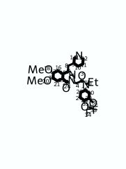 CCN(C(=O)Cn1nc(Cc2cccnc2)c2cc(OC)c(OC)cc2c1=O)c1ccc2c(c1)OC(F)(F)O2